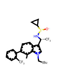 Cc1c(-c2ccccc2C(F)(F)F)ccc2c([C@H](N[S+]([O-])C3CC3)C(F)(F)F)cn(CC(C)(C)C)c12